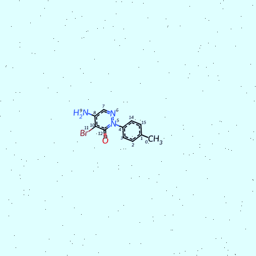 Cc1ccc(-n2ncc(N)c(Br)c2=O)cc1